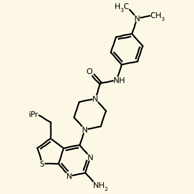 CC(C)Cc1csc2nc(N)nc(N3CCN(C(=O)Nc4ccc(N(C)C)cc4)CC3)c12